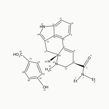 CCN(CC)C(=O)[C@@H]1C=C2c3cccc4[nH]cc(c34)C[C@H]2N(C)C1.O=C(O)c1ccc(O)cc1